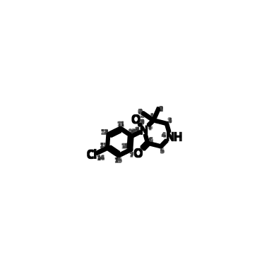 CC1(C)CNCC(=O)[N+]1([O-])c1ccc(Cl)cc1